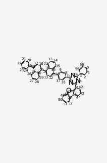 c1ccc(-c2nc(-c3ccc(-c4ccc(-c5ccc(-c6ccccc6)c6ccccc56)c5ccccc45)cc3)nc(-c3cccc4c3oc3ccccc34)n2)cc1